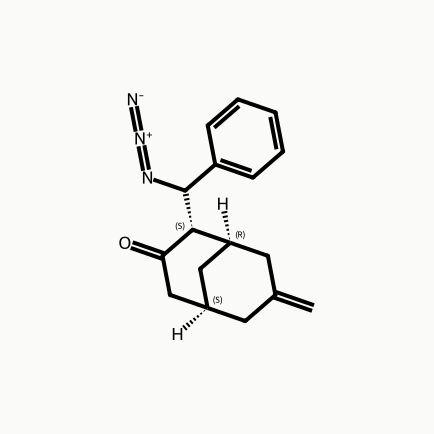 C=C1C[C@H]2CC(=O)[C@H](C(N=[N+]=[N-])c3ccccc3)[C@@H](C1)C2